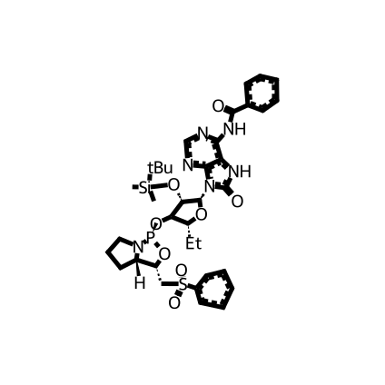 CC[C@H]1O[C@@H](n2c(=O)[nH]c3c(NC(=O)c4ccccc4)ncnc32)[C@@H](O[Si](C)(C)C(C)(C)C)C1O[P@@]1O[C@H](CS(=O)(=O)c2ccccc2)[C@@H]2CCCN21